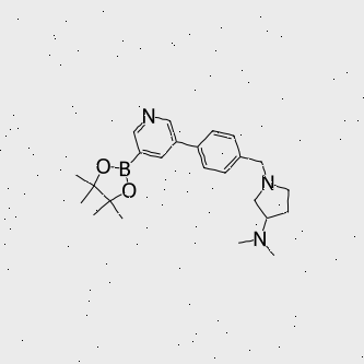 CN(C)C1CCN(Cc2ccc(-c3cncc(B4OC(C)(C)C(C)(C)O4)c3)cc2)C1